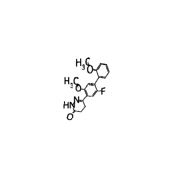 COc1cc(-c2ccccc2OC)c(F)cc1C1=NNC(=O)CC1